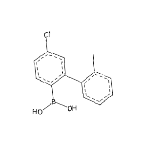 Cc1ccccc1-c1cc(Cl)ccc1B(O)O